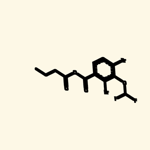 CCCC(=O)OC(=O)c1ccc(Br)c(OC(F)F)c1Br